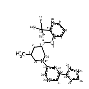 C[C@H]1C[C@H](COc2cccnc2C(F)(F)F)CN(c2cncc(-c3nncs3)n2)C1